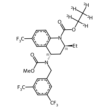 [2H]C([2H])([2H])C([2H])([2H])OC(=O)N1c2ccc(C(F)(F)F)cc2[C@@H](N(Cc2cc(C(F)(F)F)cc(C(F)(F)F)c2)C(=O)OC)C[C@@H]1CC